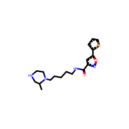 CC1CNCCN1CCCCCNC(=O)c1cc(-c2cccs2)on1